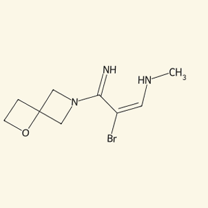 CN/C=C(/Br)C(=N)N1CC2(CCO2)C1